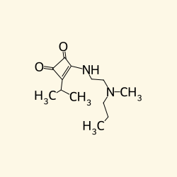 CCCN(C)CCNc1c(C(C)C)c(=O)c1=O